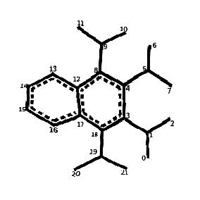 CC(C)c1c(C(C)C)c(C(C)C)c2ccccc2c1C(C)C